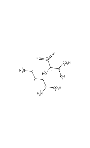 NCCCC(N)C(=O)O.O=C(O)C(O)C(O)P(=O)=O